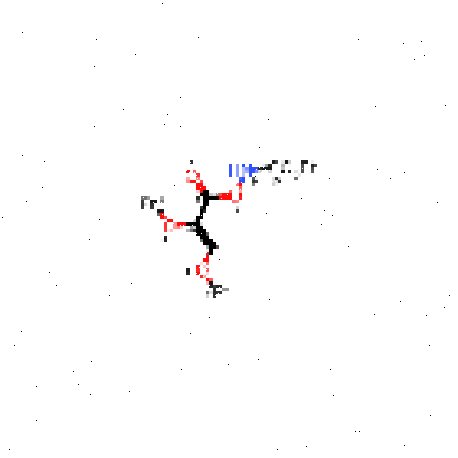 CCOC=C(OCC)C(=O)ONC(=O)OCC